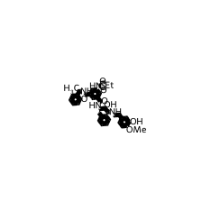 CCS(=O)(=O)Nc1cc(C(=O)N[C@@H](Cc2ccccc2)[C@H](O)CNCCc2ccc(OC)c(O)c2)cc(C(=O)N[C@H](C)c2ccccc2)c1